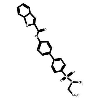 CN(CC(=O)O)S(=O)(=O)c1ccc(-c2ccc(NC(=O)C3=CC4C=CC=CC4O3)cc2)cc1